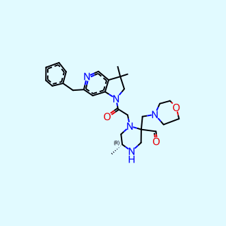 C[C@@H]1CN(CC(=O)N2CC(C)(C)c3cnc(Cc4ccccc4)cc32)C(C=O)(CN2CCOCC2)CN1